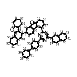 C1=Cc2oc3c(c(-c4ccc5c(c4)oc4cccc(-c6nc(-c7ccc(-c8ccccc8)cc7)nc(-c7ccc8ccccc8c7)n6)c45)cc4ccccc43)c2CC1